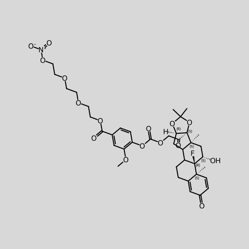 COc1cc(C(=O)OCCOCCOCCO[N+](=O)[O-])ccc1OC(=O)OCC(=O)[C@@]12OC(C)(C)O[C@@H]1CC1C3CCC4=CC(=O)C=C[C@]4(C)[C@@]3(F)[C@@H](O)C[C@@]12C